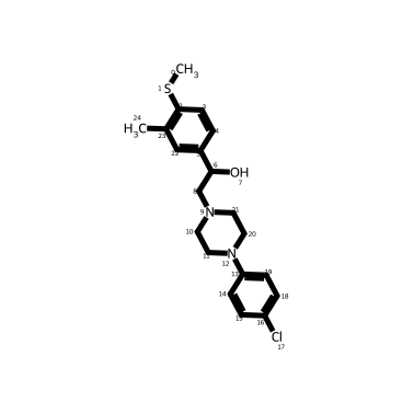 CSc1ccc(C(O)CN2CCN(c3ccc(Cl)cc3)CC2)cc1C